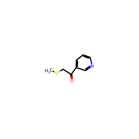 CSCC(=O)c1cccnc1